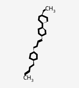 CC=CCC[C@H]1CC[C@H](CCC=C[C@H]2CC[C@H]([C@H]3CC[C@H](CC)CC3)CC2)CC1